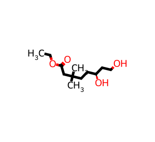 CCOC(=O)CC(C)(C)CC[C@H](O)CCO